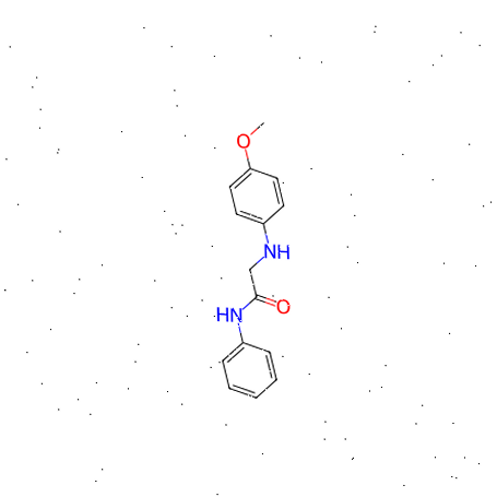 COc1ccc(NCC(=O)Nc2ccccc2)cc1